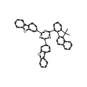 CC1(C)c2cccc(-c3nc(-c4ccc5c(c4)oc4ccccc45)nc(-c4ccc5c(c4)oc4ccccc45)n3)c2-c2ccc3ccccc3c21